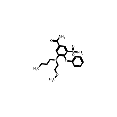 CCCCN(CCOC)c1cc(C(N)=O)cc(S(N)(=O)=O)c1Oc1ccccc1